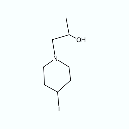 CC(O)CN1CCC(I)CC1